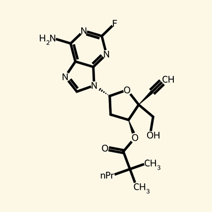 C#C[C@]1(CO)O[C@@H](n2cnc3c(N)nc(F)nc32)C[C@@H]1OC(=O)C(C)(C)CCC